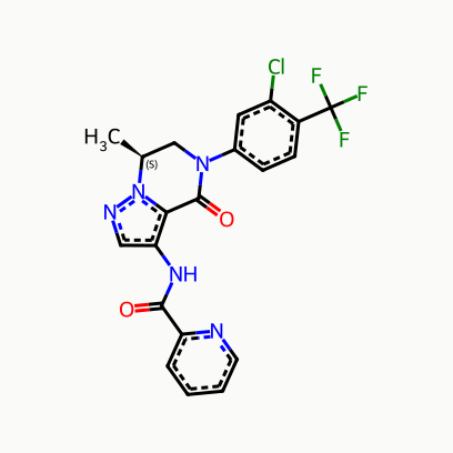 C[C@H]1CN(c2ccc(C(F)(F)F)c(Cl)c2)C(=O)c2c(NC(=O)c3ccccn3)cnn21